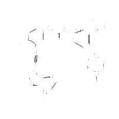 Cc1ccc(NC(=O)Nc2ccc(CN3CCN(C)CC3)c(C(F)(F)F)c2)cc1C#CN1CC=C2NC=CN=C21